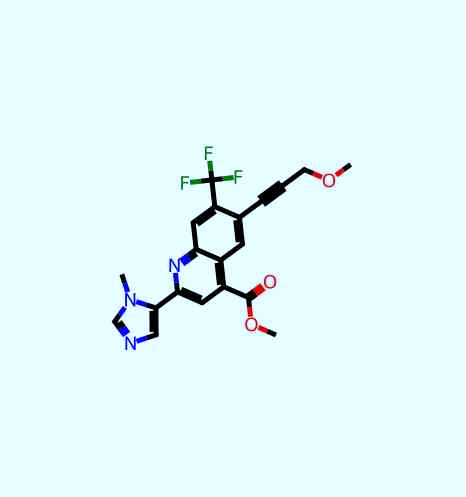 COCC#Cc1cc2c(C(=O)OC)cc(-c3cncn3C)nc2cc1C(F)(F)F